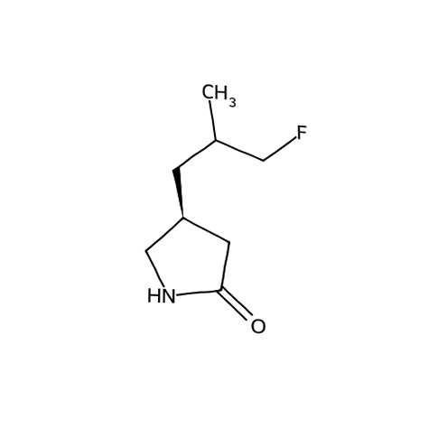 CC(CF)C[C@@H]1CNC(=O)C1